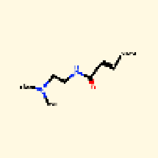 CCCCCCCC=CC(=O)NCCN(CCCC)CCCC